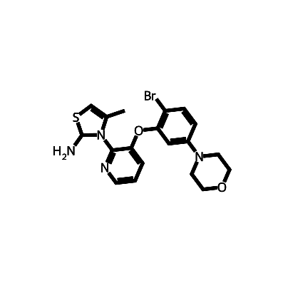 CC1=CSC(N)N1c1ncccc1Oc1cc(N2CCOCC2)ccc1Br